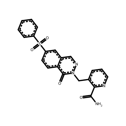 NC(=O)c1ncccc1Cn1ncc2cc(S(=O)(=O)c3ccccc3)ccc2c1=O